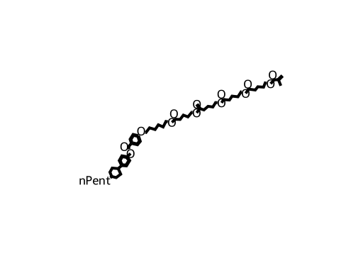 C=C(C)C(=O)OCCCCC(=O)OCCCCC(=O)OCCCCC(=O)OCCCCC(=O)OCCCCCCOc1ccc(C(=O)Oc2ccc(C3CCC(CCCCC)CC3)cc2)cc1